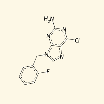 Nc1nc(Cl)c2ncn(Cc3ccccc3F)c2n1